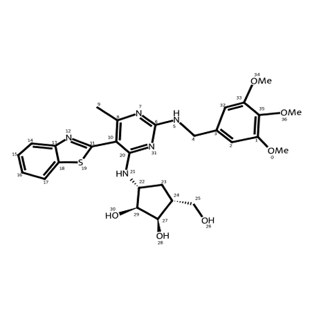 COc1cc(CNc2nc(C)c(-c3nc4ccccc4s3)c(N[C@@H]3C[C@H](CO)[C@@H](O)[C@H]3O)n2)cc(OC)c1OC